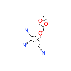 CC1(C)OCC(COCC(CCC#N)(CCC#N)CCC#N)O1